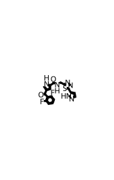 O=C(NCc1nnc(-c2ccn[nH]2)s1)c1cc(C(=O)c2c(F)cccc2F)c[nH]1